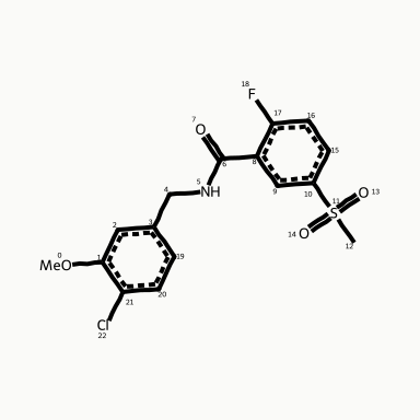 COc1cc(CNC(=O)c2cc(S(C)(=O)=O)ccc2F)ccc1Cl